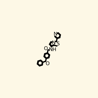 O=C(Nc1ccn2c1CSC2c1cccnc1)c1ccc(C(=O)c2ccccc2)cc1